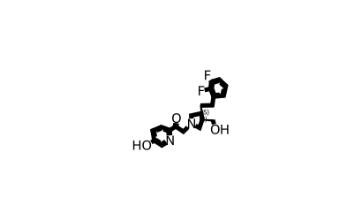 O=C(CN1C[C@@H](CCc2cccc(F)c2F)[C@@H](CO)C1)c1ccc(O)cn1